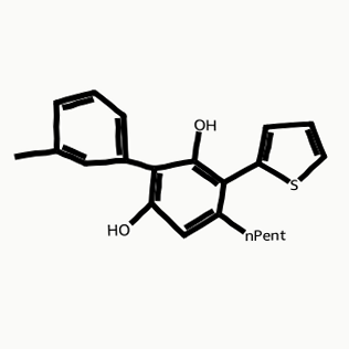 CCCCCc1cc(O)c(-c2cccc(C)c2)c(O)c1-c1cccs1